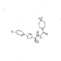 C[C@H](NC(=O)c1ccc(-c2ccc(F)cc2)cc1)C(=O)N1CCC2(CC1)CC2